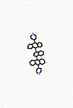 c1ccc2c(-c3c4ccccc4c(-c4ccncc4)c4ccccc34)ccc(-c3c4ccccc4c(-c4ccncc4)c4ccccc34)c2c1